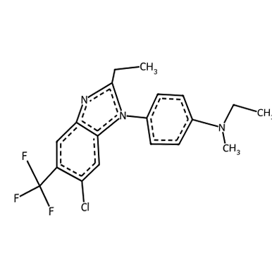 CCc1nc2cc(C(F)(F)F)c(Cl)cc2n1-c1ccc(N(C)CC)cc1